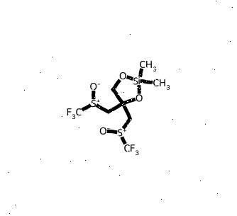 C[Si]1(C)OCC(C[S+]([O-])C(F)(F)F)(C[S+]([O-])C(F)(F)F)O1